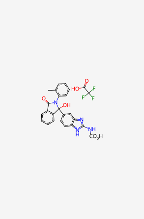 Cc1ccccc1N1C(=O)c2ccccc2C1(O)c1ccc2[nH]c(NC(=O)O)nc2c1.O=C(O)C(F)(F)F